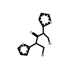 O=C(C(CBr)c1cccs1)C(CBr)c1cccs1